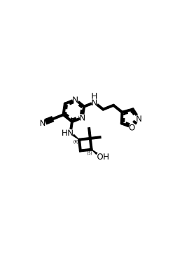 CC1(C)[C@@H](O)C[C@H]1Nc1nc(NCCc2cnoc2)ncc1C#N